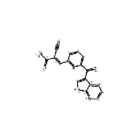 N#C/C(=C\c1cccc(C(=O)c2c[nH]c3ncccc23)c1)C(N)=O